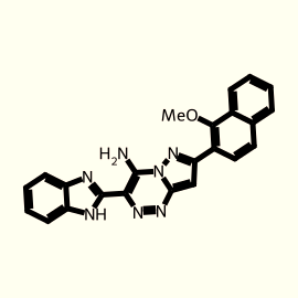 COc1c(-c2cc3nnc(-c4nc5ccccc5[nH]4)c(N)n3n2)ccc2ccccc12